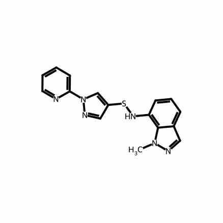 Cn1ncc2cccc(NSc3cnn(-c4ccccn4)c3)c21